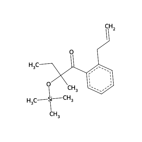 C=CCc1ccccc1C(=O)C(C)(CC)O[Si](C)(C)C